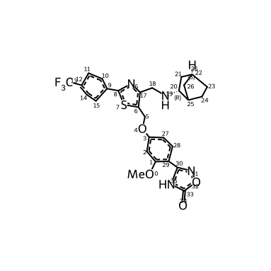 COc1cc(OCc2sc(-c3ccc(C(F)(F)F)cc3)nc2CN[C@@H]2C[C@H]3CCC2C3)ccc1-c1noc(=O)[nH]1